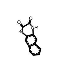 O=C1[N]c2cc3ccccc3cc2NC1=O